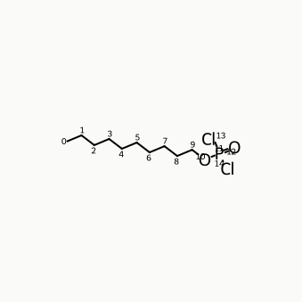 CCCCCCCCCCOP(=O)(Cl)Cl